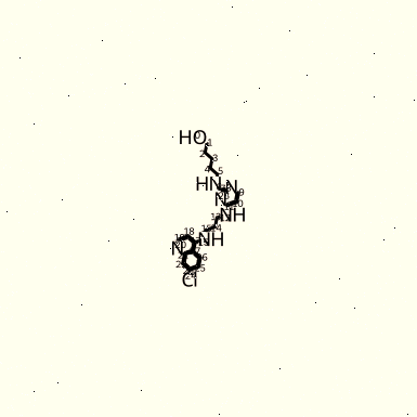 OCCCCCNc1nccc(NCCCNc2ccnc3cc(Cl)ccc23)n1